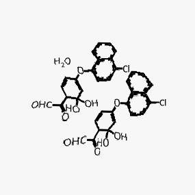 O.O=CC(=O)C1C=CC(Oc2ccc(Cl)c3ccccc23)=CC1(O)O.O=CC(=O)C1C=CC(Oc2ccc(Cl)c3ccccc23)=CC1(O)O